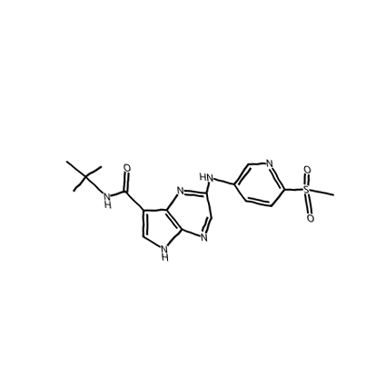 CC(C)(C)NC(=O)c1c[nH]c2ncc(Nc3ccc(S(C)(=O)=O)nc3)nc12